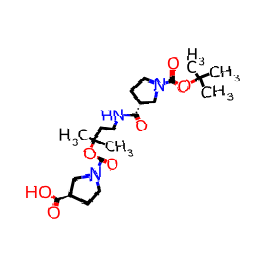 CC(C)(C)OC(=O)N1CC[C@@H](C(=O)NCCC(C)(C)OC(=O)N2CC[C@@H](C(=O)O)C2)C1